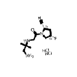 CC(C)(CN)NCC(=O)N1C[C@@H](F)C[C@H]1C#N.Cl.Cl